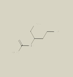 CNC(=O)NC(CCSC)COC